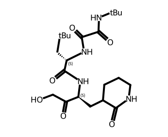 CC(C)(C)C[C@H](NC(=O)C(=O)NC(C)(C)C)C(=O)N[C@@H](CC1CCCNC1=O)C(=O)CO